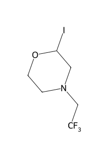 FC(F)(F)CN1CCOC(I)C1